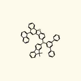 CC1(C)c2ccccc2-c2ccc(N(c3cc(-c4ccccc4)cc(-c4ccccc4)c3)c3ccc4oc5c6ccccc6c(-c6cccc7ccccc67)cc5c4c3)cc21